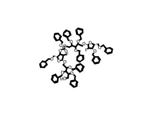 O=P(OCc1ccccc1)(OCC(OCc1ccccc1)C(OCc1ccccc1)C(CO[C@@H]1O[C@H](COCc2ccccc2)[C@H](OCc2ccccc2)C1F)OCc1ccccc1)OC1C(F)[C@H](OCC(OCc2ccccc2)C(OCc2ccccc2)C(CO)OCc2ccccc2)O[C@@H]1COCc1ccccc1